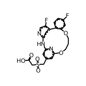 O=C(O)CS(=O)(=O)Cc1cc2nc(c1)OCCCOc1cc(F)ccc1-c1cc(ncc1F)N2